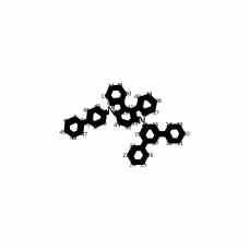 C1=CC(c2ccc(N3C4=C(CCCC4)C4c5c(n(C6=CC(C7C=CCCC7)CC(C7=CCCCC7)=C6)c6ccccc56)C=CC43)cc2)=CCC1